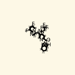 O=C(c1cc2c(cn1)c(-c1cnc3c(F)cc(F)cn13)nn2CC(F)(F)F)N1CC2CCCC(C1)C2O